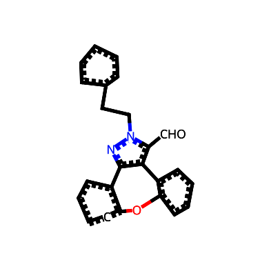 O=Cc1c2c(nn1CCc1ccccc1)-c1ccccc1Oc1ccccc1-2